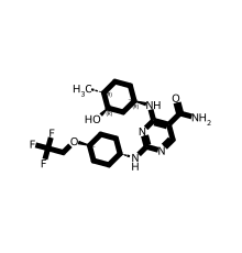 C[C@@H]1CC[C@@H](Nc2nc(N[C@H]3CC[C@H](OCC(F)(F)F)CC3)ncc2C(N)=O)C[C@H]1O